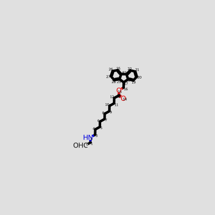 O=CCNCCCCCCCCCCC(=O)OCC1c2ccccc2-c2ccccc21